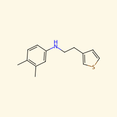 Cc1ccc(NCCc2ccsc2)cc1C